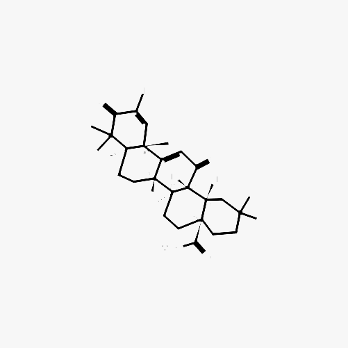 COC(=O)[C@]12CCC(C)(C)C[C@H]1[C@H]1C(=O)C=C3[C@@]4(C)C=C(I)C(=O)C(C)(C)[C@@H]4CC[C@@]3(C)[C@]1(C)CC2